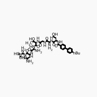 CCCCc1ccc(-c2ccc(C(=O)N[C@H](CCO)C(=O)N[C@H](N)C(=O)NCC(=O)N[C@H](C(=O)N[C@@H](N)C(=O)N[C@@H](CC(N)=O)C(=O)N[C@@H](N)B(O)O)C(C)O)cc2)cc1